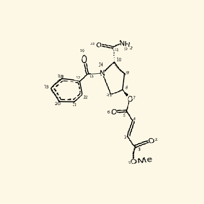 COC(=O)/C=C/C(=O)O[C@@H]1C[C@@H](C(N)=O)N(C(=O)c2ccccc2)C1